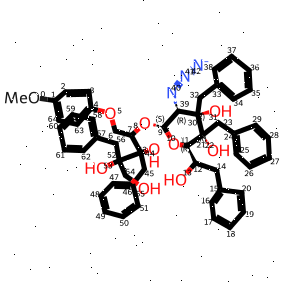 COc1ccc(OCC(O[C@H]2O[C@H](C(O)Cc3ccccc3)[C@](O)(Cc3ccccc3)[C@@](O)(Cc3ccccc3)[C@H]2N=[N+]=[N-])C(O)(Cc2ccccc2)C(O)(CO)Cc2ccccc2)cc1